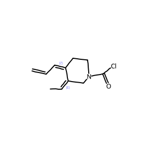 C=C/C=C1/CCN(C(=O)Cl)C/C1=C/C